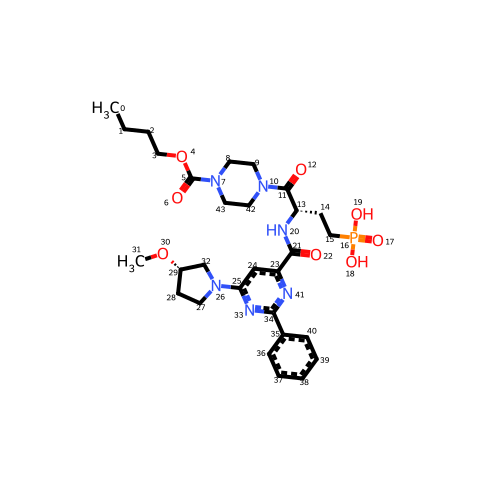 CCCCOC(=O)N1CCN(C(=O)[C@H](CCP(=O)(O)O)NC(=O)c2cc(N3CC[C@H](OC)C3)nc(-c3ccccc3)n2)CC1